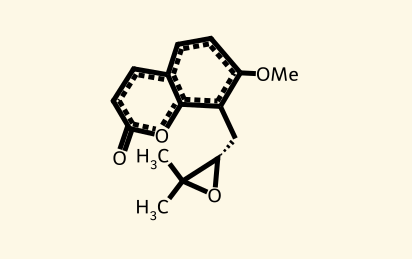 COc1ccc2ccc(=O)oc2c1C[C@@H]1OC1(C)C